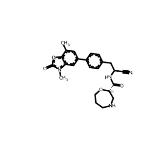 Cc1cc(-c2ccc(CC(C#N)NC(=O)[C@@H]3CNCCCO3)cc2)cc2c1oc(=O)n2C